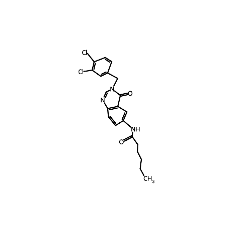 CCCCCC(=O)Nc1ccc2ncn(Cc3ccc(Cl)c(Cl)c3)c(=O)c2c1